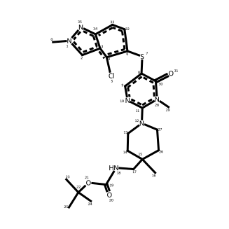 Cn1cc2c(Cl)c(Sc3cnc(N4CCC(C)(CNC(=O)OC(C)(C)C)CC4)n(C)c3=O)ccc2n1